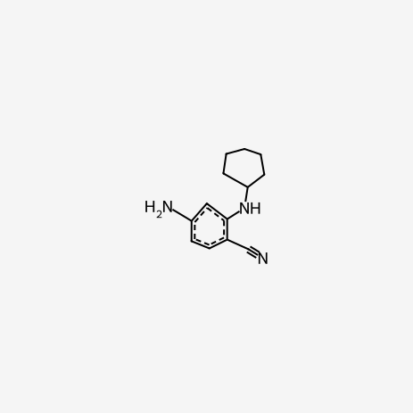 N#Cc1ccc(N)cc1NC1CCCCC1